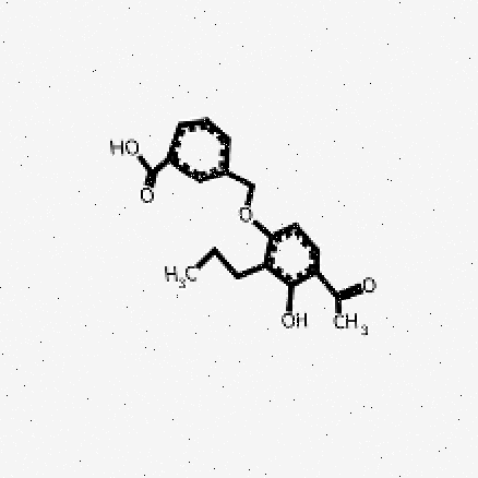 CCCc1c(OCc2cccc(C(=O)O)c2)ccc(C(C)=O)c1O